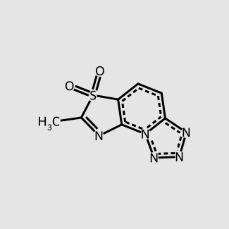 CC1=Nc2c(ccc3nnnn23)S1(=O)=O